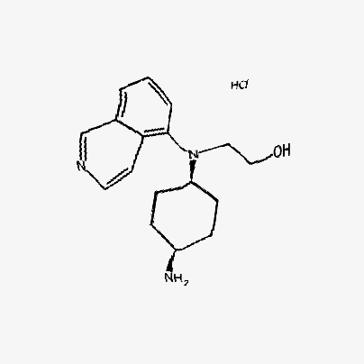 Cl.N[C@H]1CC[C@@H](N(CCO)c2cccc3cnccc23)CC1